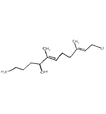 CCCCC(O)/C(C)=C/CC/C(C)=C/CCl